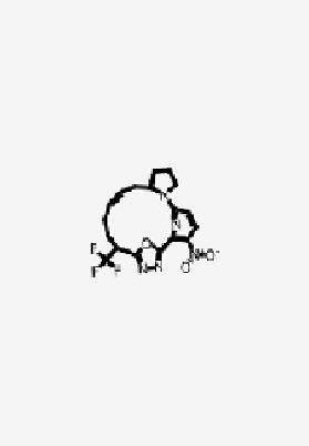 O=[N+]([O-])c1ccc2nc1-c1nnc(o1)C(C(F)(F)F)CCC=CCC1CCCN21